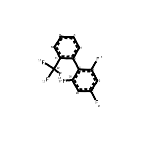 Fc1cc(F)c(-c2cc[c]cc2C(F)(F)F)c(F)c1